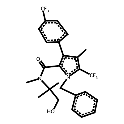 Cc1c(-c2ccc(C(F)(F)F)cc2)c(C(=O)N(C)C(C)(C)CO)n(Cc2ccccc2)c1C(F)(F)F